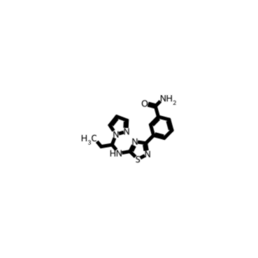 CCC(Nc1nc(-c2cccc(C(N)=O)c2)ns1)n1cccn1